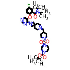 CC(C)N(C(=O)c1cc(F)ccc1Oc1cncnc1N1CC2(CCN(CC3CCN(S(=O)(=O)N4CCCN(C(=O)OC(C)(C)C)CC4)CC3)CC2)C1)C(C)C